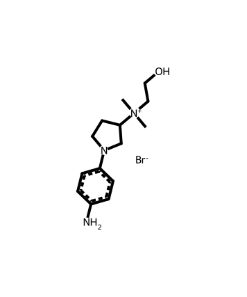 C[N+](C)(CCO)C1CCN(c2ccc(N)cc2)C1.[Br-]